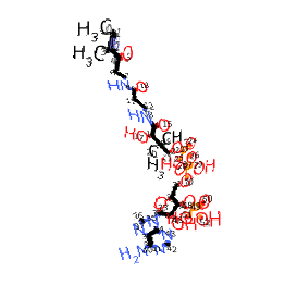 C/C=C(\C)C(=O)CCNC(=O)CCNC(=O)C(O)C(C)(C)COP(=O)(O)OP(=O)(O)OCC1OC(n2cnc3c(N)ncnc32)C(O)C1OP(=O)(O)O